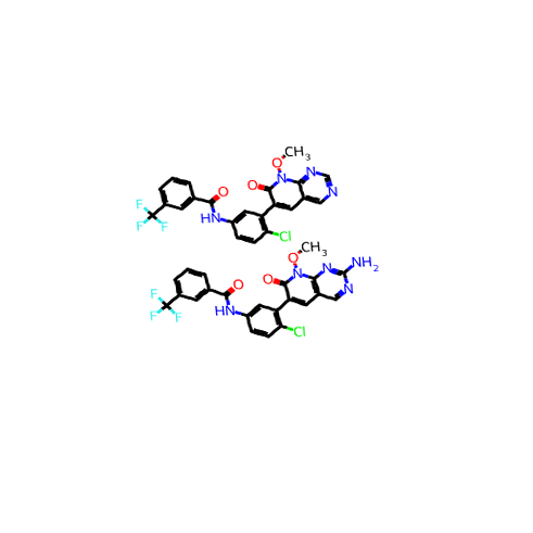 COn1c(=O)c(-c2cc(NC(=O)c3cccc(C(F)(F)F)c3)ccc2Cl)cc2cnc(N)nc21.COn1c(=O)c(-c2cc(NC(=O)c3cccc(C(F)(F)F)c3)ccc2Cl)cc2cncnc21